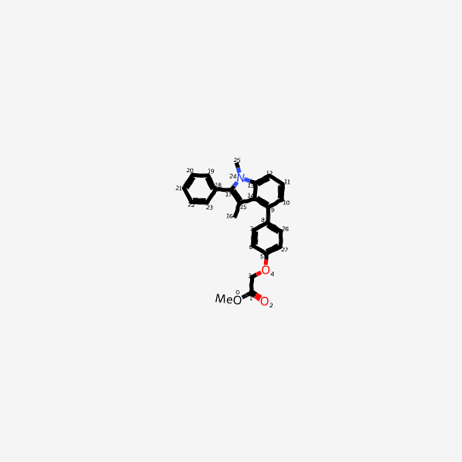 COC(=O)COc1ccc(-c2cccc3c2c(C)c(-c2ccccc2)n3C)cc1